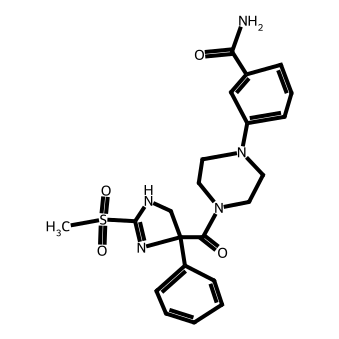 CS(=O)(=O)C1=NC(C(=O)N2CCN(c3cccc(C(N)=O)c3)CC2)(c2ccccc2)CN1